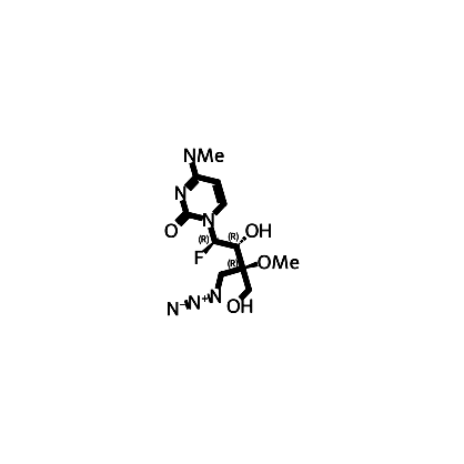 CNc1ccn([C@H](F)[C@H](O)[C@](CO)(CN=[N+]=[N-])OC)c(=O)n1